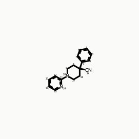 N#CC1(c2ccccc2)CCN(c2cc[c]cn2)CC1